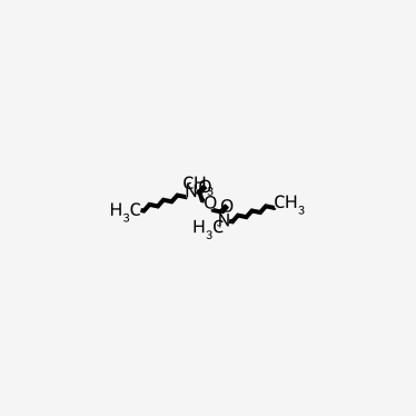 CCCCCCCCN(C)C(=O)COCC(=O)N(C)CCCCCCCC